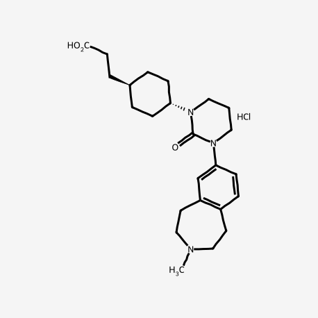 CN1CCc2ccc(N3CCCN([C@H]4CC[C@H](CCC(=O)O)CC4)C3=O)cc2CC1.Cl